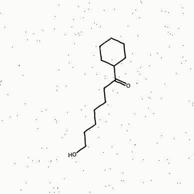 O=C(CCCCCCO)C1CCCCC1